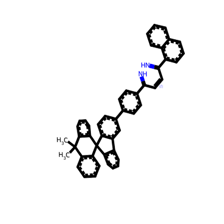 CC1(C)c2ccccc2C2(c3ccccc3-c3cc(-c4ccc(C(=N)/C=C\C(=N)c5cccc6ccccc56)cc4)ccc32)c2ccccc21